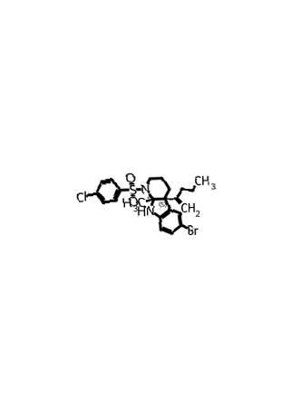 C=C(CCC)[C@]12CCCN(S(=O)(=O)c3ccc(Cl)cc3)[C@@]1(C)Nc1ccc(Br)cc12